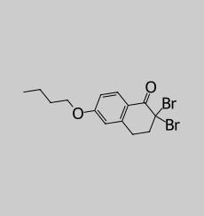 CCCCOc1ccc2c(c1)CCC(Br)(Br)C2=O